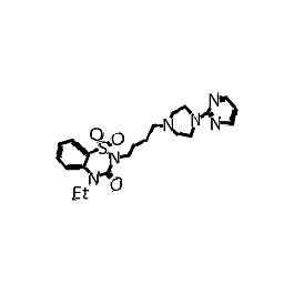 CCN1C(=O)N(CCCCN2CCN(c3ncccn3)CC2)S(=O)(=O)c2ccccc21